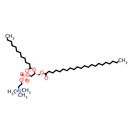 CCCCCCCCCCCCCCCCCCCCCC(=O)OC[C@H](COP(=O)([O-])OCC[N+](C)(C)C)OC(=O)CCCCCCCCCCC